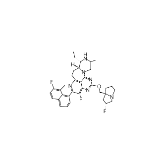 CC[C@@H]1NC(C)CN2c3nc(OC[C@@]45CCCN4C[C@H](F)C5)nc4c(F)c(-c5cccc6ccc(F)c(C)c56)nc(c34)CC[C@H]12